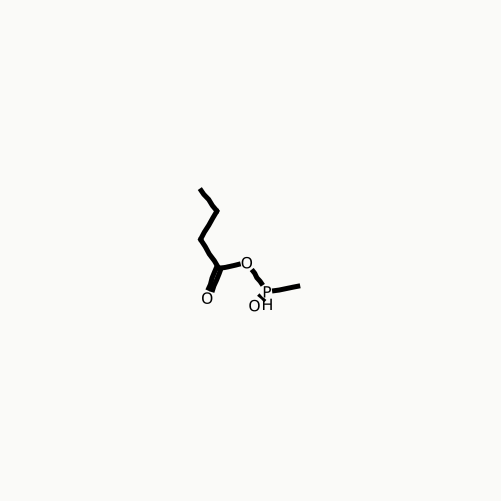 CCCC(=O)O[PH](C)=O